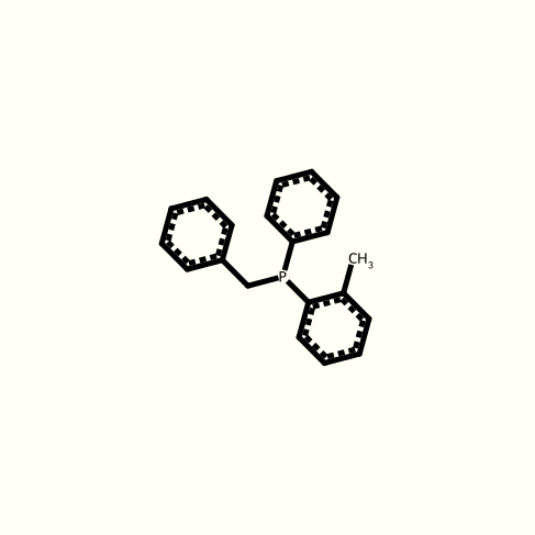 Cc1ccccc1P(Cc1ccccc1)c1ccccc1